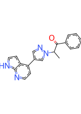 CC(C(=O)c1ccccc1)n1cc(-c2ccnc3[nH]ccc23)cn1